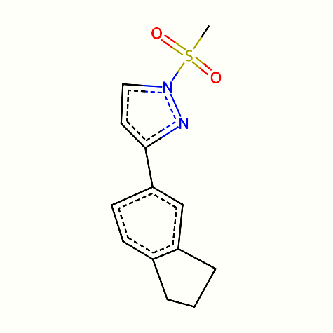 CS(=O)(=O)n1ccc(-c2ccc3c(c2)CCC3)n1